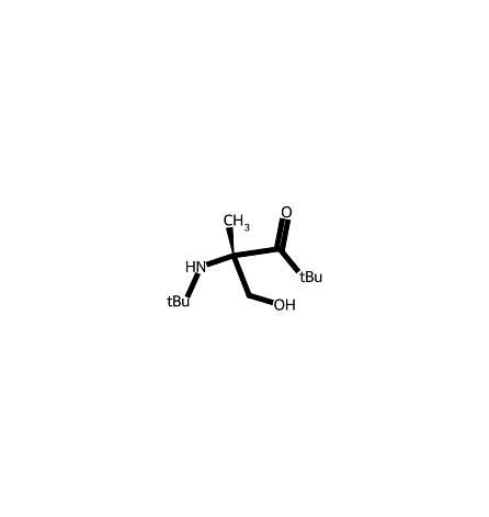 CC(C)(C)N[C@@](C)(CO)C(=O)C(C)(C)C